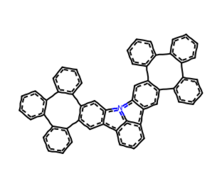 c1ccc2c(c1)-c1ccccc1-c1cc3c4cccc5c6cc7c(cc6n(c3cc1-c1ccccc1-2)c45)-c1ccccc1-c1ccccc1-c1ccccc1-7